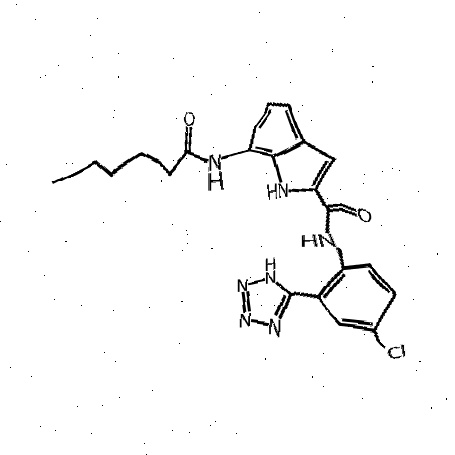 CCCCCC(=O)Nc1cccc2cc(C(=O)Nc3ccc(Cl)cc3-c3nnn[nH]3)[nH]c12